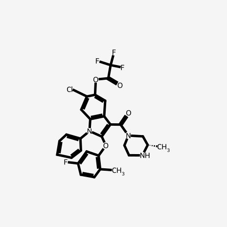 Cc1ccc(F)cc1Oc1c(C(=O)N2CCN[C@@H](C)C2)c2cc(OC(=O)C(F)(F)F)c(Cl)cc2n1-c1ccccc1